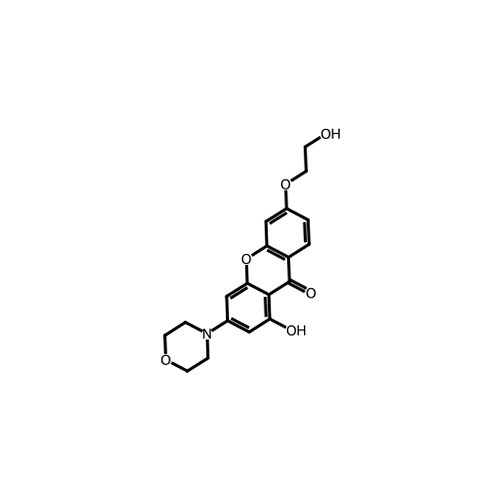 O=c1c2ccc(OCCO)cc2oc2cc(N3CCOCC3)cc(O)c12